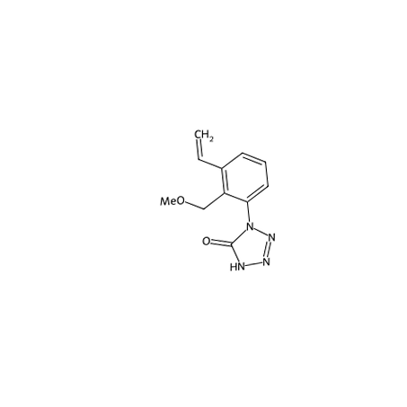 C=Cc1cccc(-n2nn[nH]c2=O)c1COC